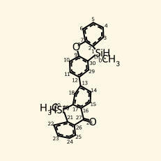 C[Si@H]1c2ccccc2Oc2ccc(-c3ccc4c(c3)[Si@H](C)c3ccccc3C4=O)cc21